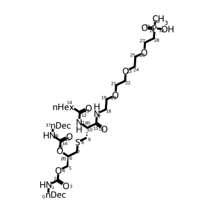 CCCCCCCCCCNC(=O)OC[C@H](CSC[C@H](NC(=O)CCCCCC)C(=O)NCCOCCOCCOCCP(C)(=O)O)OC(=O)NCCCCCCCCCC